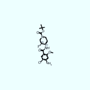 COc1cc(N)c(Cl)cc1C(=O)N[C@H]1CCN(C(=O)OC(C)(C)C)C[C@@H]1F